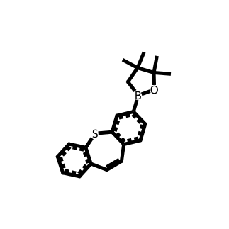 CC1(C)CB(c2ccc3c(c2)Sc2ccccc2C=C3)OC1(C)C